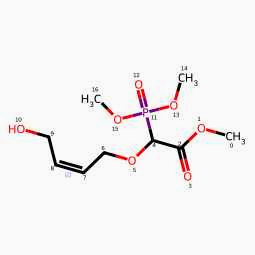 COC(=O)C(OC/C=C\CO)P(=O)(OC)OC